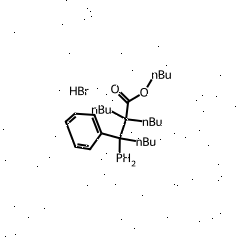 Br.CCCCOC(=O)C(CCCC)(CCCC)C(P)(CCCC)c1ccccc1